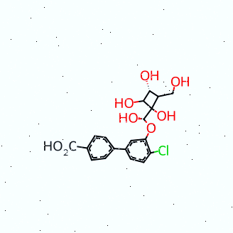 O=C(O)c1ccc(-c2ccc(Cl)c(O[C@@H](O)C3(O)C(O)[C@H](O)C3CO)c2)cc1